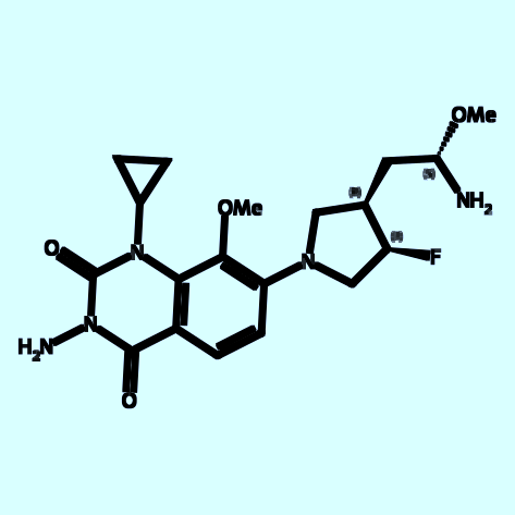 COc1c(N2C[C@@H](C[C@@H](N)OC)[C@@H](F)C2)ccc2c(=O)n(N)c(=O)n(C3CC3)c12